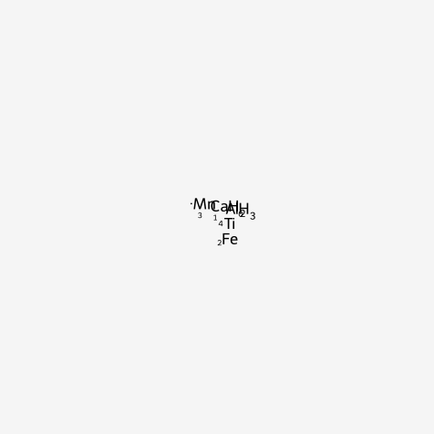 [AlH3].[CaH2].[Fe].[Mn].[Ti]